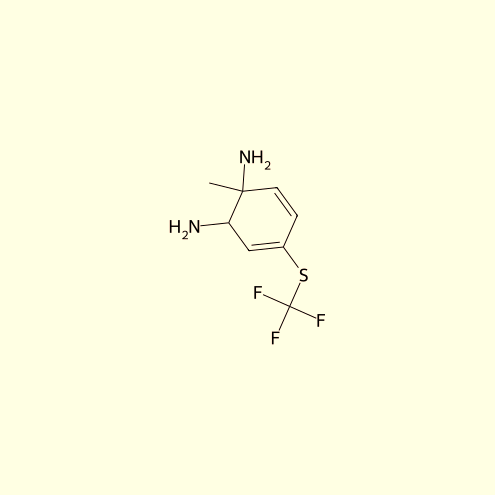 CC1(N)C=CC(SC(F)(F)F)=CC1N